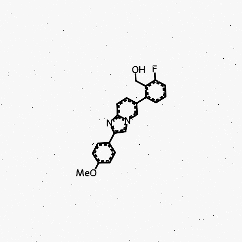 COc1ccc(-c2cn3cc(-c4cccc(F)c4CO)ccc3n2)cc1